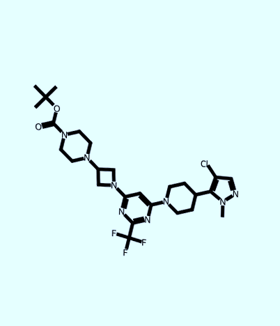 Cn1ncc(Cl)c1C1CCN(c2cc(N3CC(N4CCN(C(=O)OC(C)(C)C)CC4)C3)nc(C(F)(F)F)n2)CC1